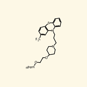 CCCCCOCCOC1CCN(CCCN2c3ccccc3Sc3ccc(C(F)(F)F)cc32)CC1